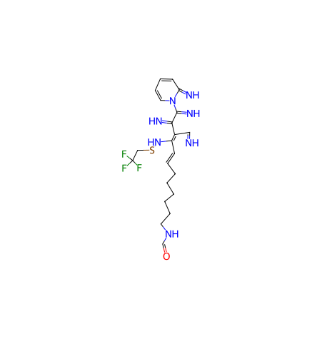 N=C/C(C(=N)C(=N)n1ccccc1=N)=C(\C=C\CCCCCCNC=O)NSCC(F)(F)F